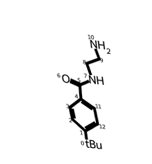 CC(C)(C)c1ccc(C(=O)NCCN)cc1